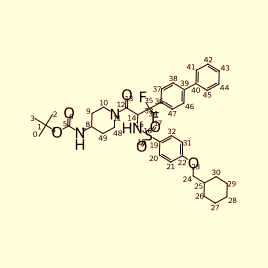 CC(C)(C)OC(=O)NC1CCN(C(=O)C(NS(=O)(=O)c2ccc(OCC3CCCCC3)cc2)C(F)(F)c2ccc(-c3ccccc3)cc2)CC1